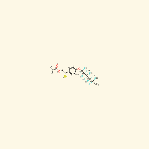 C=C(C)C(=O)OCC(S)c1ccc(OC(F)(F)C(F)(F)C(F)(F)C(F)(F)C(F)(F)C(F)(F)F)cc1